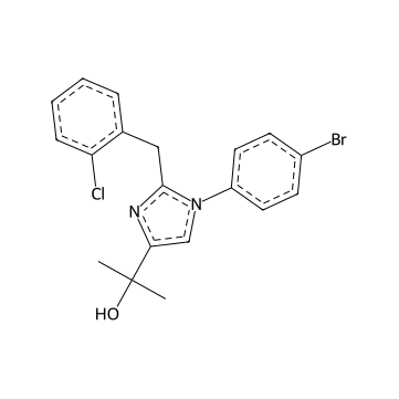 CC(C)(O)c1cn(-c2ccc(Br)cc2)c(Cc2ccccc2Cl)n1